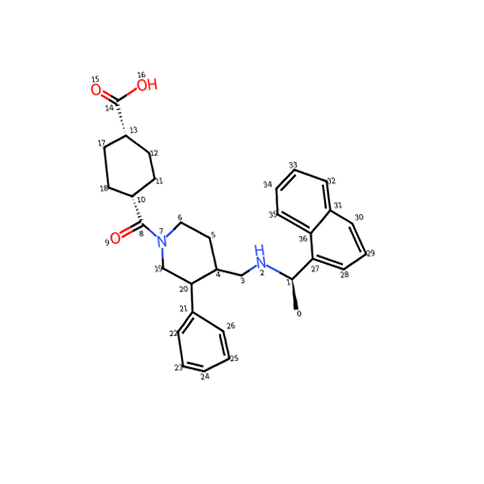 C[C@@H](NCC1CCN(C(=O)[C@H]2CC[C@@H](C(=O)O)CC2)CC1c1ccccc1)c1cccc2ccccc12